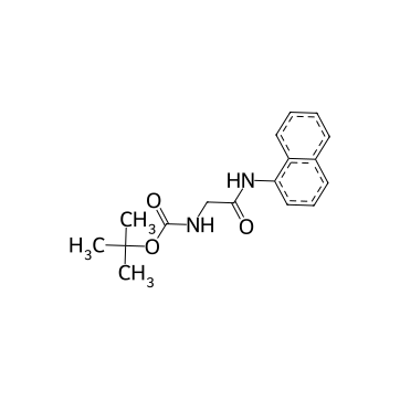 CC(C)(C)OC(=O)NCC(=O)Nc1cccc2ccccc12